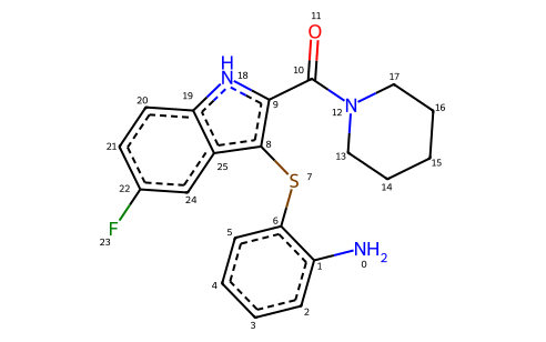 Nc1ccccc1Sc1c(C(=O)N2CCCCC2)[nH]c2ccc(F)cc12